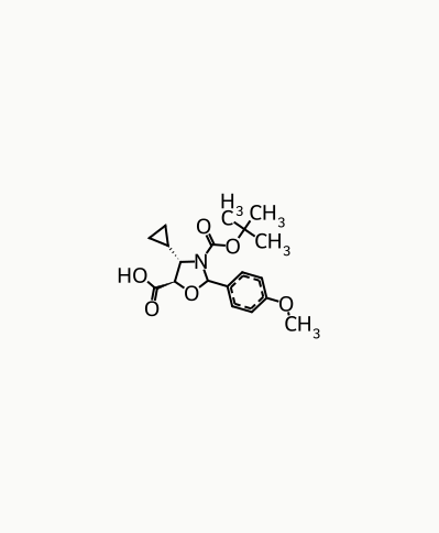 COc1ccc(C2O[C@@H](C(=O)O)[C@H](C3CC3)N2C(=O)OC(C)(C)C)cc1